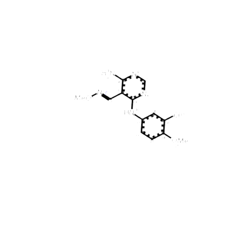 CO/N=C/c1c(N)ncnc1Nc1ccc(OC)c(Cl)c1